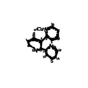 [Cu].c1ccc(-c2cccnc2-c2ccccn2)nc1